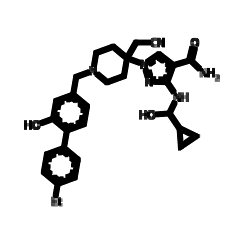 CCc1ccc(-c2ccc(CN3CCC(CC#N)(n4cc(C(N)=O)c(NC(O)C5CC5)n4)CC3)cc2O)cc1